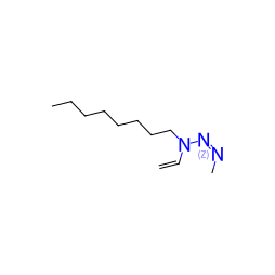 C=CN(CCCCCCCC)/N=N\C